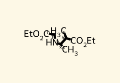 CCOC(=O)CNC(C)C(C)C(=O)OCC